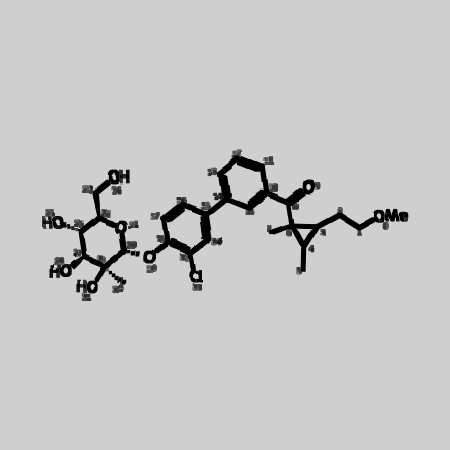 COCCC1C(C)C1(C)C(=O)c1cccc(-c2ccc(O[C@H]3O[C@H](CO)[C@@H](O)[C@H](O)[C@]3(C)O)c(Cl)c2)c1